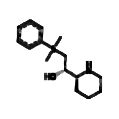 CS(C)(C[C@@H](O)[C@@H]1CCCCN1)c1ccccc1